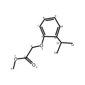 COC(=O)COc1ccccc1C(C)C